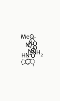 COC1(C)COc2c(S(N)(=O)=NC(=O)Nc3c4c(cc5c3CCC5C)CCC4)cnn2C1